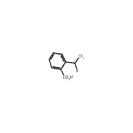 O=C(O)c1ccccc1C(F)C(F)(F)F